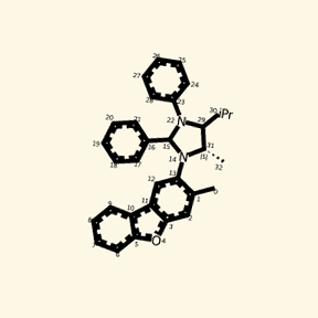 Cc1cc2oc3ccccc3c2cc1N1C(c2ccccc2)N(c2ccccc2)C(C(C)C)[C@@H]1C